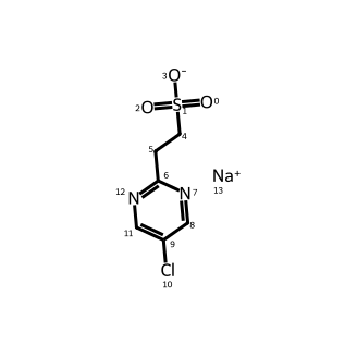 O=S(=O)([O-])CCc1ncc(Cl)cn1.[Na+]